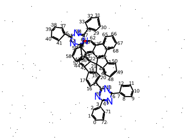 c1ccc(-c2nc(-c3ccccc3)nc(-c3ccc4c(c3)C3(c5cc(-c6nc(-c7ccccc7)nc(-c7ccccc7)n6)ccc5-4)c4ccccc4-c4c3c3c5ccccc5ccc3c3ccccc43)n2)cc1